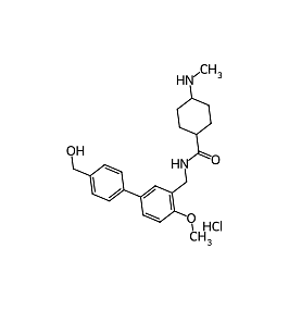 CNC1CCC(C(=O)NCc2cc(-c3ccc(CO)cc3)ccc2OC)CC1.Cl